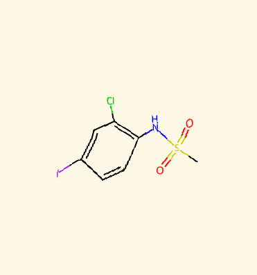 CS(=O)(=O)Nc1ccc(I)cc1Cl